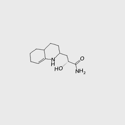 NC(=O)[C@H](O)CC1CCC2CCCC=C2N1